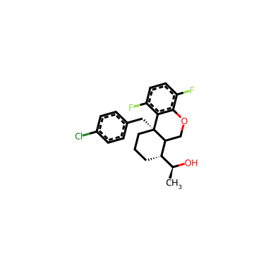 C[C@H](O)[C@@H]1CCC[C@@]2(Cc3ccc(Cl)cc3)c3c(F)ccc(F)c3OCC12